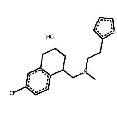 CN(CCc1cccs1)CC1CCCc2cc(Cl)ccc21.Cl